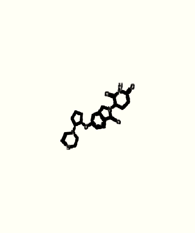 O=C1CCC(N2Cc3cc(O[C@@H]4CCC[C@@H]4N4CCSCC4)ccc3C2=O)C(=O)N1